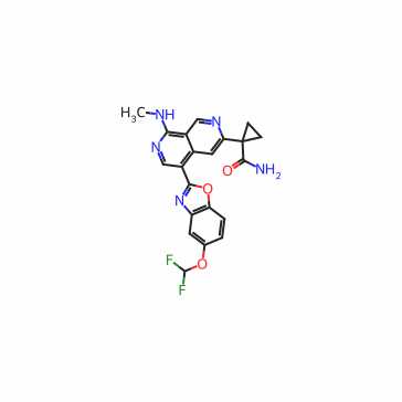 CNc1ncc(-c2nc3cc(OC(F)F)ccc3o2)c2cc(C3(C(N)=O)CC3)ncc12